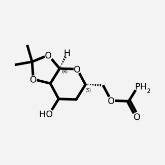 CC1(C)OC2C(O)C[C@@H](COC(=O)P)O[C@@H]2O1